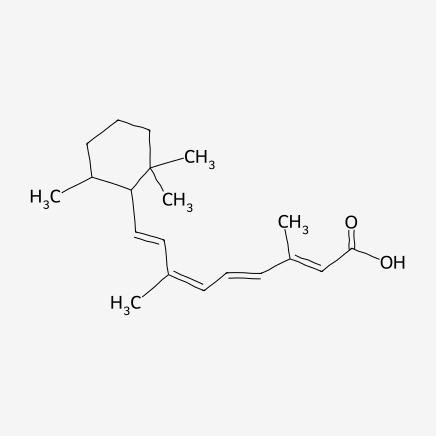 CC(=C/C=C/C(C)=C/C(=O)O)/C=C/C1C(C)CCCC1(C)C